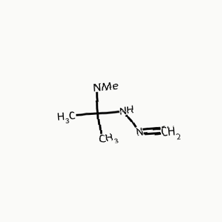 C=NNC(C)(C)NC